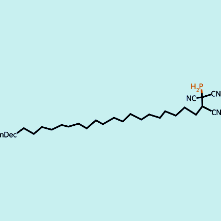 CCCCCCCCCCCCCCCCCCCCCCCCCCCCCCC(C#N)C(P)(C#N)C#N